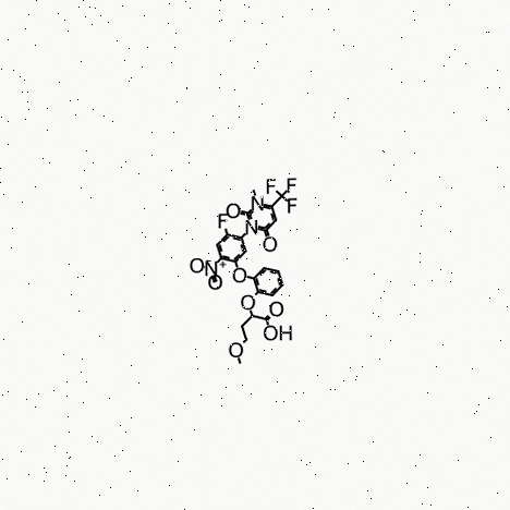 COCCC(Oc1ccccc1Oc1cc(-n2c(=O)cc(C(F)(F)F)n(C)c2=O)c(F)cc1[N+](=O)[O-])C(=O)O